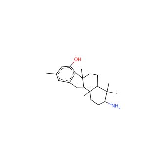 Cc1cc(O)c2c(c1)CC1C2(C)CCC2C(C)(C)C(N)CCC12C